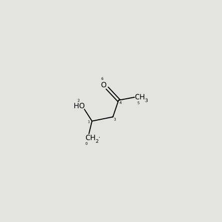 [CH2]C(O)CC(C)=O